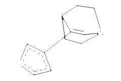 C1=C(c2ccsc2)C2CCN1CC2